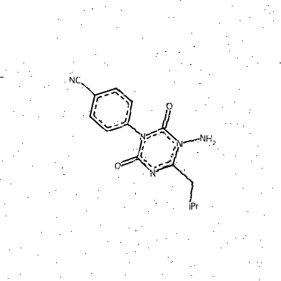 CC(C)Cc1nc(=O)n(-c2ccc(C#N)cc2)c(=O)n1N